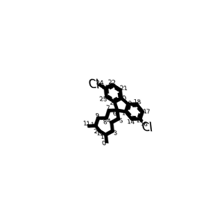 CC(C)CCCC1(CCCC(C)C)c2cc(Cl)ccc2-c2ccc(Cl)cc21